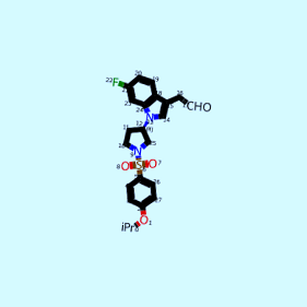 CC(C)Oc1ccc(S(=O)(=O)N2CC[C@@H](n3cc(CC=O)c4ccc(F)cc43)C2)cc1